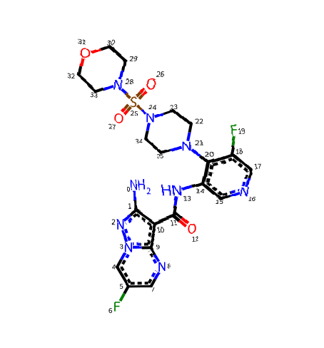 Nc1nn2cc(F)cnc2c1C(=O)Nc1cncc(F)c1N1CCN(S(=O)(=O)N2CCOCC2)CC1